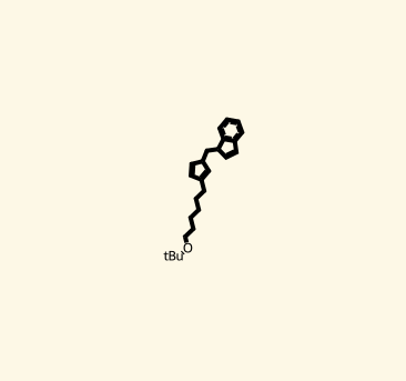 CC(C)(C)OCCCCCCC1=CC(CC2C=Cc3ccccc32)C=C1